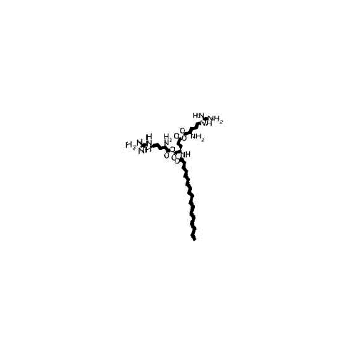 CCCCCCCCCCCCCCCCCC(=O)N[C@H](CCC(=O)OC(=O)[C@H](N)CCCNC(=N)N)C(=O)OC(=O)[C@H](N)CCCNC(=N)N